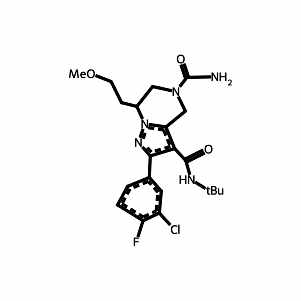 COCCC1CN(C(N)=O)Cc2c(C(=O)NC(C)(C)C)c(-c3ccc(F)c(Cl)c3)nn21